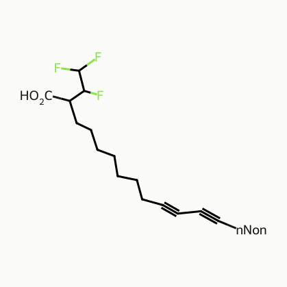 CCCCCCCCCC#CC#CCCCCCCCC(C(=O)O)C(F)C(F)F